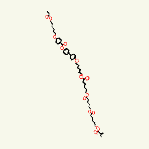 C=CC(=O)OCCCCCCOc1ccc(C(=O)Oc2ccc(C3CCC(OCCCCCCOC(=O)CCCCCOC(=O)CCCCCOC(=O)CCCCCOC(=O)C(=C)C)CC3)cc2)cc1